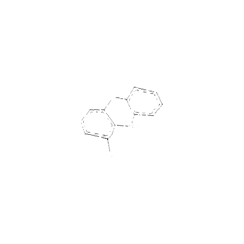 [SiH3]c1cccc2c1Nc1ccccc1O2